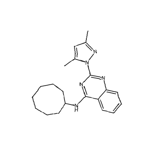 Cc1cc(C)n(-c2nc(NC3CCCCCCC3)c3ccccc3n2)n1